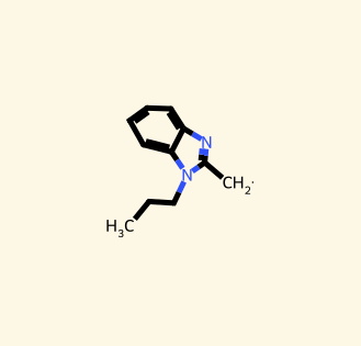 [CH2]c1nc2ccccc2n1CCC